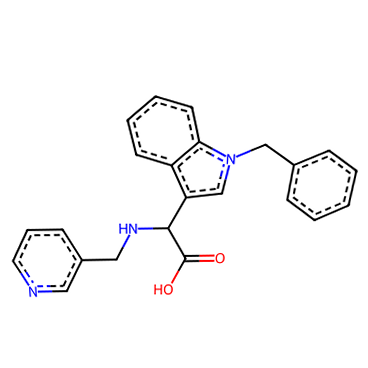 O=C(O)C(NCc1cccnc1)c1cn(Cc2ccccc2)c2ccccc12